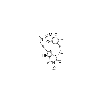 C=C1c2[nH]c(C#CCN(C)C(=O)Oc3cc(F)c(F)cc3OC)nc2N(C2CC2)C(=O)N1C1CC1